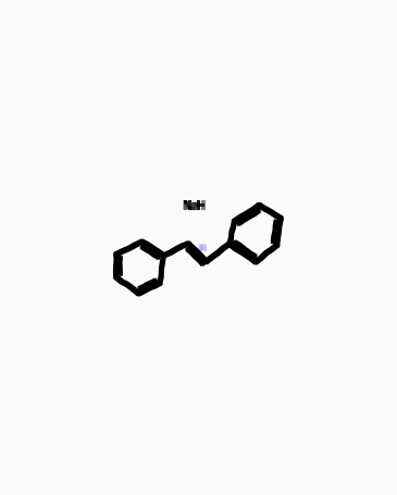 C(=C\c1ccccc1)/c1ccccc1.[NaH]